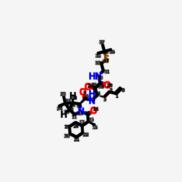 C=CCC[C@H](NC(=O)[C@@H]1[C@@H]2[C@H](CN1C(=O)[C@@H](C)C1CCCCC1)C2(C)C)C(=O)C(=O)NCCSC(C)(C)C